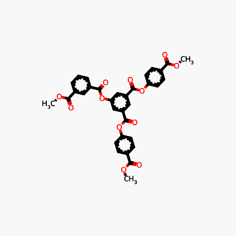 COC(=O)c1ccc(OC(=O)c2cc(OC(=O)c3cccc(C(=O)OC)c3)cc(C(=O)Oc3ccc(C(=O)OC)cc3)c2)cc1